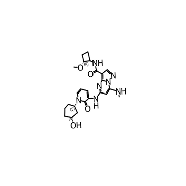 CNc1cc(Nc2cccn([C@H]3CCC[C@@H](O)C3)c2=O)nc2c(C(=O)NC3CC[C@H]3OC)cnn12